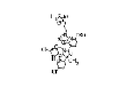 CCOc1nc(C(C)(C)C)ccc1C1=NC(C)(c2ccc(Cl)cc2)C(C)(c2ccc(Cl)cc2)N1C(=O)N1CCN(CCCS(C)(=O)=O)CC1